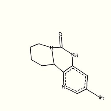 CC(C)c1cnc2c(c1)NC(=O)N1CCCCC21